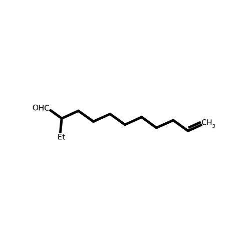 C=CCCCCCCCC(C=O)CC